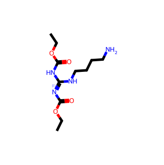 CCOC(=O)/N=C(\NCCCCN)NC(=O)OCC